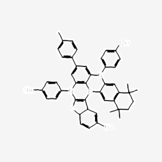 Cc1ccc(-c2cc3c4c(c2)N(c2ccc(C(C)(C)C)cc2)c2cc5c(cc2B4C2=C(SC4C=CC(C(C)(C)C)=CC24)N3c2ccc(C(C)(C)C)cc2)C(C)(C)CCC5(C)C)cc1